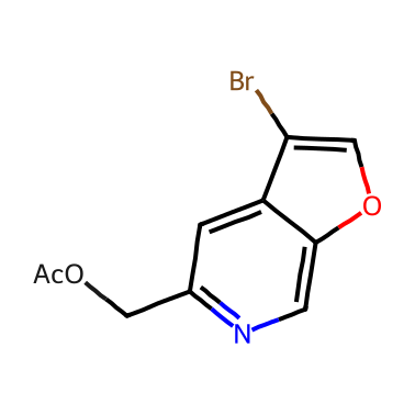 CC(=O)OCc1cc2c(Br)coc2cn1